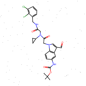 CC(C)(C)OC(=O)Nc1ccc2c(c1)c(C=O)cn2CC(=O)N(CC(=O)NCc1cccc(Cl)c1F)C1CC1